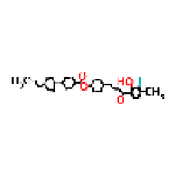 CCCC1CCC(C2CCC(C(=O)OC3CCC(CCCC(=O)c4ccc(C)c(F)c4O)CC3)CC2)CC1